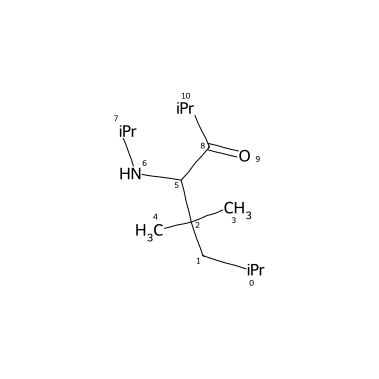 CC(C)CC(C)(C)C(NC(C)C)C(=O)C(C)C